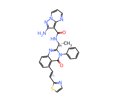 C[C@@H](NC(=O)c1c(N)nn2cccnc12)c1nc2cccc(/C=C/c3nccs3)c2c(=O)n1-c1ccccc1